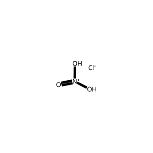 O=[N+](O)O.[Cl-]